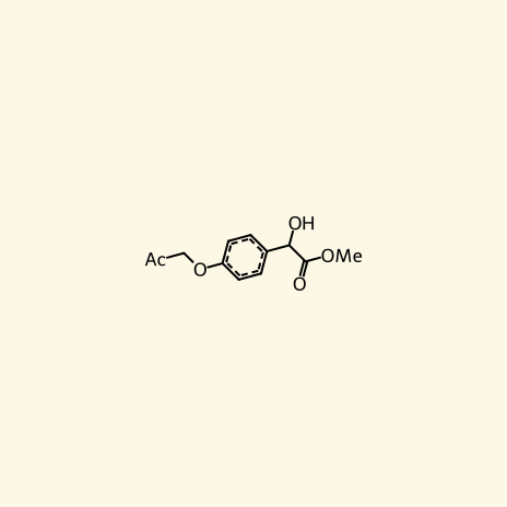 COC(=O)C(O)c1ccc(OCC(C)=O)cc1